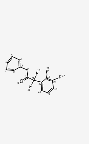 O=C(Cc1ccccc1)C(F)(F)c1cccc(F)c1F